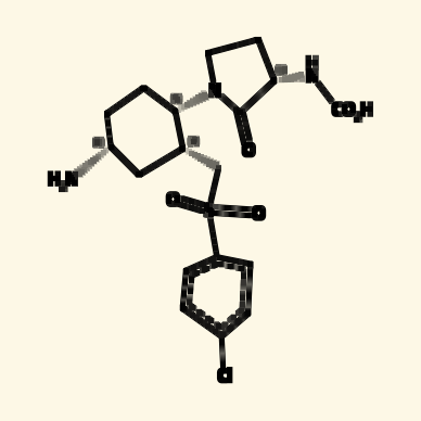 N[C@@H]1CC[C@H](N2CC[C@H](NC(=O)O)C2=O)[C@H](CS(=O)(=O)c2ccc(Cl)cc2)C1